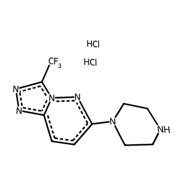 Cl.Cl.FC(F)(F)c1nnc2ccc(N3CCNCC3)nn12